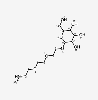 CC(C)NCCOCCOCCOC1OC(CO)C(O)C(O)C1O